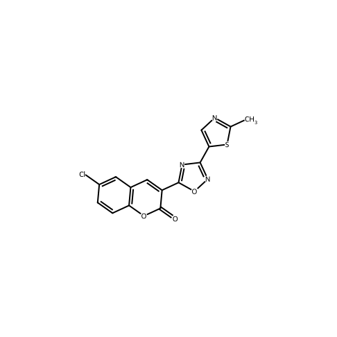 Cc1ncc(-c2noc(-c3cc4cc(Cl)ccc4oc3=O)n2)s1